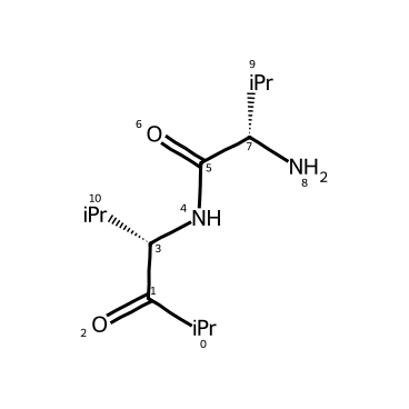 CC(C)C(=O)[C@@H](NC(=O)[C@@H](N)C(C)C)C(C)C